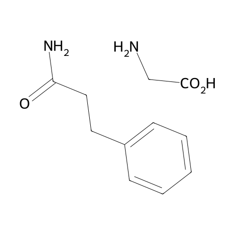 NC(=O)CCc1ccccc1.NCC(=O)O